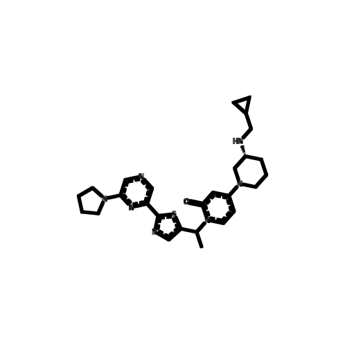 CC(c1cnc(-c2cncc(N3CCCC3)n2)s1)n1ccc(N2CCC[C@@H](NCC3CC3)C2)cc1=O